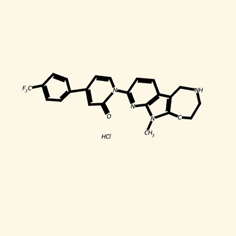 Cl.Cn1c2c(c3ccc(-n4ccc(-c5ccc(C(F)(F)F)cc5)cc4=O)nc31)CNCCC2